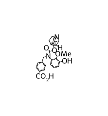 COc1c(O)cccc1N(Cc1ccc(C(=O)O)cc1)C(=O)O[C@H]1CN2CCC1CC2